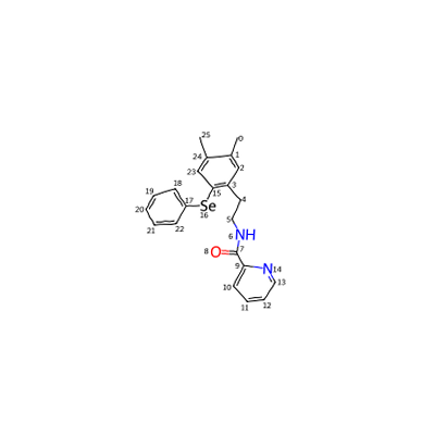 Cc1cc(CCNC(=O)c2ccccn2)c([Se]c2ccccc2)cc1C